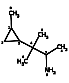 CC1CC1C(C)(C)C(C)N